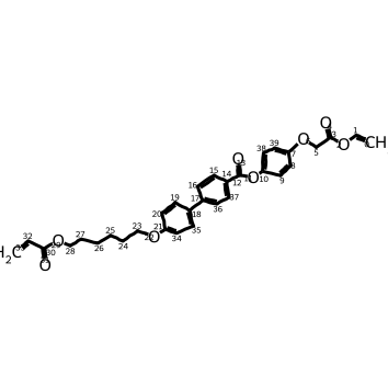 C=COC(=O)COc1ccc(OC(=O)c2ccc(-c3ccc(OCCCCCCOC(=O)C=C)cc3)cc2)cc1